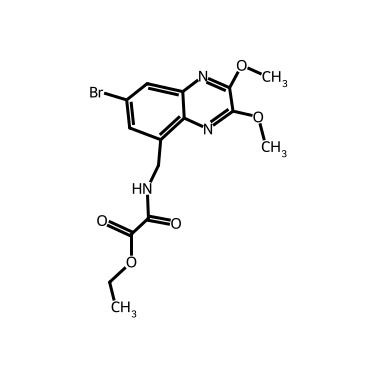 CCOC(=O)C(=O)NCc1cc(Br)cc2nc(OC)c(OC)nc12